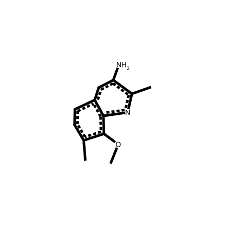 COc1c(C)ccc2cc(N)c(C)nc12